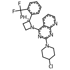 FC(F)(P)c1ccccc1C1CCN1c1nc(N2CCC(Cl)CC2)nc2ncccc12